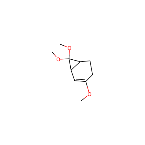 COC1=CC2C(CC1)C2(OC)OC